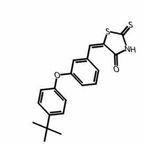 CC(C)(C)c1ccc(Oc2cccc(/C=C3/SC(=S)NC3=O)c2)cc1